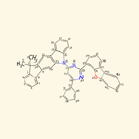 CC1(C)c2ccccc2-c2cc3c(cc21)c1ccccc1n3-c1cc(-c2ccccc2)nc(-c2cccc3c2oc2ccccc23)n1